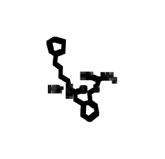 Br.N=C(N)SCc1ccccc1CC(=O)NCCCCc1ccccc1